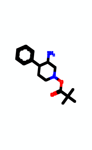 CC(C)(C)C(=O)ON1CCC(c2ccccc2)C(N)C1